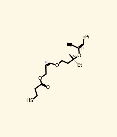 C#C/C(=C\CCC)O[C@@](C)(CC)CCO/C=C\COC(=O)CCS